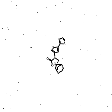 O=C1O[C@]2(CN3CCC2CC3)CN1c1csc(-c2nccs2)c1